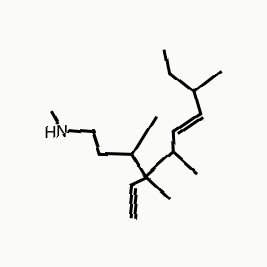 C=CC(C)(C(C)C=CC(C)CC)C(C)CCNC